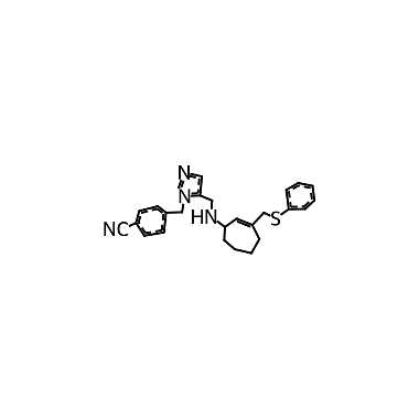 N#Cc1ccc(Cn2cncc2CNC2C=C(CSc3ccccc3)CCCC2)cc1